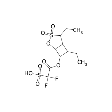 CCC1C(OC(=O)C(F)(F)S(=O)(=O)O)C2OS(=O)(=O)C(CC)C12